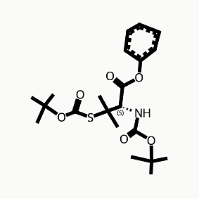 CC(C)(C)OC(=O)N[C@@H](C(=O)Oc1ccccc1)C(C)(C)SC(=O)OC(C)(C)C